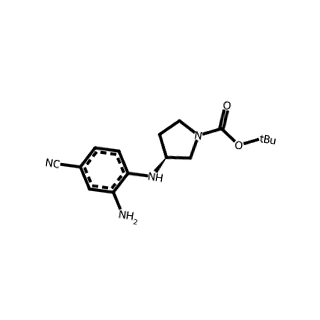 CC(C)(C)OC(=O)N1CC[C@H](Nc2ccc(C#N)cc2N)C1